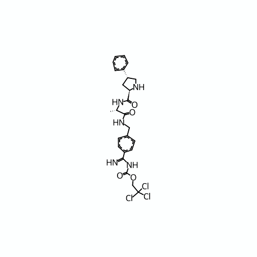 C[C@H](NC(=O)[C@H]1C[C@H](c2ccccc2)CN1)C(=O)NCc1ccc(C(=N)NC(=O)OCC(Cl)(Cl)Cl)cc1